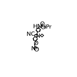 CC(C)OC(=O)Nc1ccc(-c2c(C#N)c3ccc(OCc4cocn4)cc3n2C2CCC2)cc1